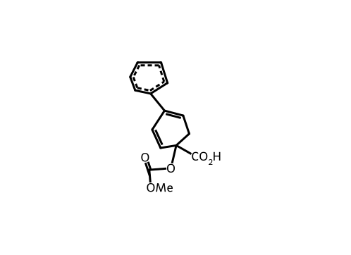 COC(=O)OC1(C(=O)O)C=CC(c2ccccc2)=CC1